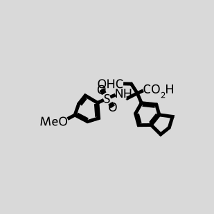 COc1ccc(S(=O)(=O)NCC(CC=O)(C(=O)O)c2ccc3c(c2)CCC3)cc1